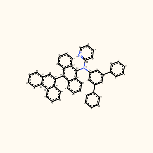 c1ccc(-c2cc(-c3ccccc3)cc(N(c3ccccn3)c3c4ccccc4c(-c4cc5ccccc5c5ccccc45)c4ccccc34)c2)cc1